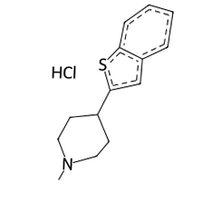 CN1CCC(c2cc3ccccc3s2)CC1.Cl